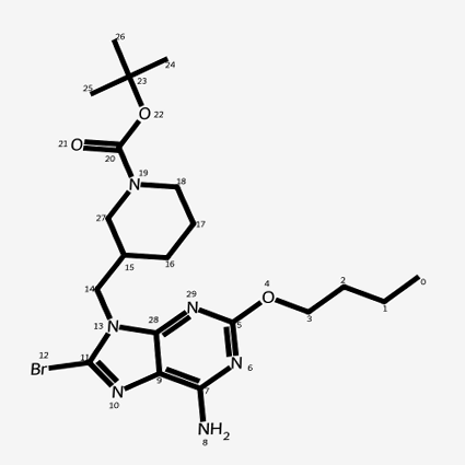 CCCCOc1nc(N)c2nc(Br)n(CC3CCCN(C(=O)OC(C)(C)C)C3)c2n1